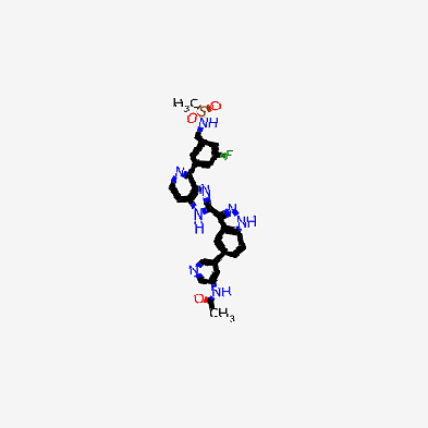 CC(=O)Nc1cncc(-c2ccc3[nH]nc(-c4nc5c(-c6cc(F)cc(CNS(C)(=O)=O)c6)nccc5[nH]4)c3c2)c1